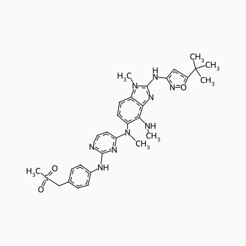 CNc1c(N(C)c2ccnc(Nc3ccc(CS(C)(=O)=O)cc3)n2)ccc2c1nc(Nc1cc(C(C)(C)C)on1)n2C